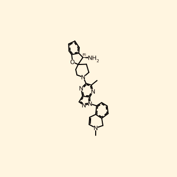 Cc1nc2c(cnn2-c2cccc3c2C=CN(C)C3)nc1N1CCC2(CC1)Oc1ccccc1[C@H]2N